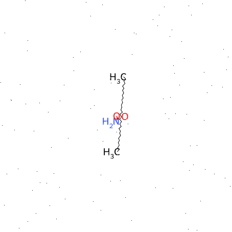 CCCCCCCCCCCCCCCCCC(=O)C(CCCCCCCCCCCCCC)C(N)=O